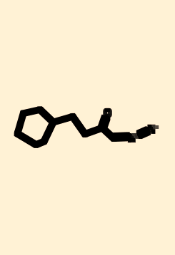 [N-]=[N+]=CC(=O)CCC1CCCCC1